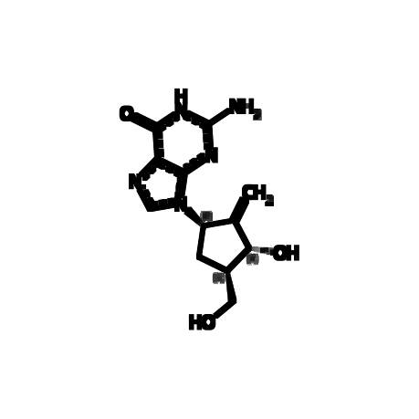 C=C1[C@H](n2cnc3c(=O)[nH]c(N)nc32)C[C@H](CO)[C@H]1O